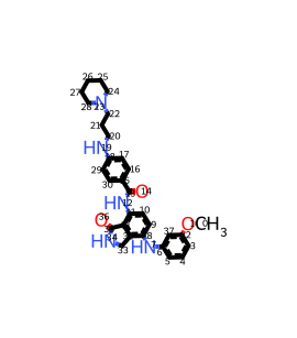 COc1cccc(Nc2ccc(NC(=O)c3ccc(NCCCN4CCCCC4)cc3)c3c2CNC3=O)c1